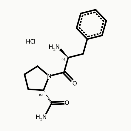 Cl.NC(=O)[C@@H]1CCCN1C(=O)[C@@H](N)Cc1ccccc1